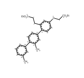 CCOC(=O)CCc1cc(OCC(=O)OCC)ccc1-c1ccc(-c2cccc(C)c2)c(C)c1